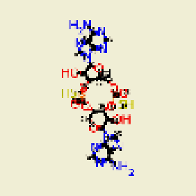 Nc1ncnc2c1ncn2C1O[C@@H]2CO[P@](=O)(S)OC3C(CO[C@@H](n4cnc5c(N)ncnc54)C3O)O[P@](=O)(S)OC2C1O